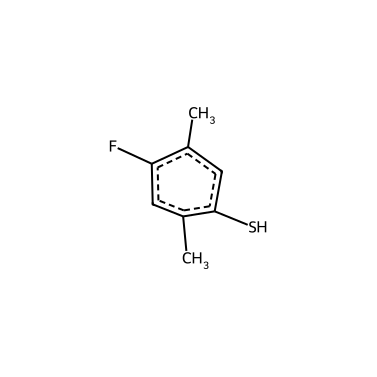 Cc1cc(S)c(C)cc1F